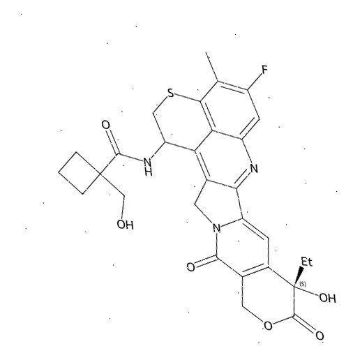 CC[C@@]1(O)C(=O)OCc2c1cc1n(c2=O)Cc2c-1nc1cc(F)c(C)c3c1c2C(NC(=O)C1(CO)CCC1)CS3